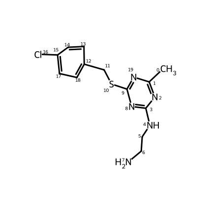 Cc1nc(NCCN)nc(SCc2ccc(Cl)cc2)n1